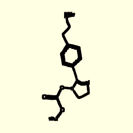 CNCCc1ccc(C2=NCCN2OC(=O)OC(C)(C)C)cc1